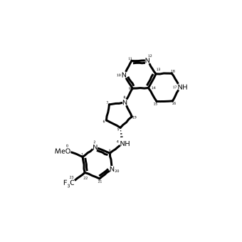 COc1nc(N[C@@H]2CCN(c3ncnc4c3CCNC4)C2)ncc1C(F)(F)F